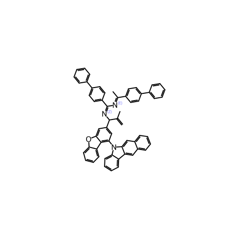 C=C(C)C(/N=C(\N=C(/C)c1ccc(-c2ccccc2)cc1)c1ccc(-c2ccccc2)cc1)c1cc(-n2c3ccccc3c3cc4ccccc4cc32)c2c(c1)oc1ccccc12